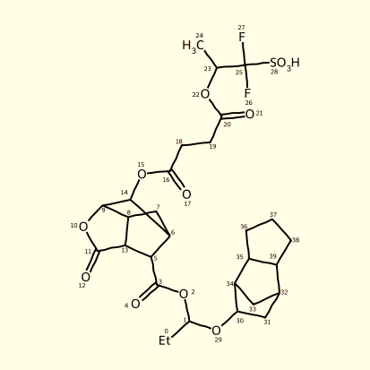 CCC(OC(=O)C1C2CC3C(OC(=O)C31)C2OC(=O)CCC(=O)OC(C)C(F)(F)S(=O)(=O)O)OC1CC2CC1C1CCCC21